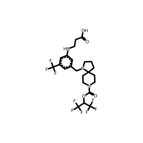 O=C(O)CCNc1cc(CN2CCCC23CCN(C(=O)OC(C(F)(F)F)C(F)(F)F)CC3)cc(C(F)(F)F)c1